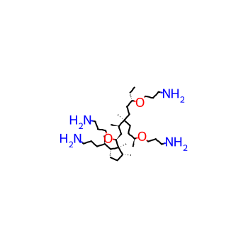 CC[C@@H](CC[C@@](C)(CC[C@H](C)OCCCN)[C@H](C)C[C@H](OCCCN)[C@@]1(C)[C@H](C)CC[C@@H]1[C@H](C)CCCN)OCCCN